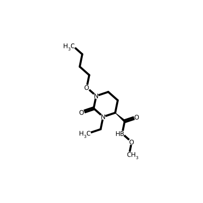 CCCCON1CC[C@@H](C(=O)BOC)N(CC)C1=O